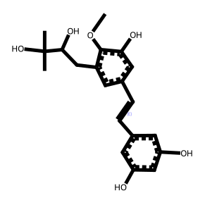 COc1c(O)cc(/C=C/c2cc(O)cc(O)c2)cc1CC(O)C(C)(C)O